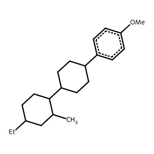 CCC1CCC(C2CCC(c3ccc(OC)cc3)CC2)C(C)C1